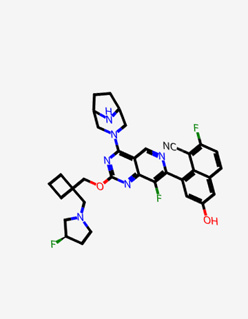 N#Cc1c(F)ccc2cc(O)cc(-c3ncc4c(N5CC6CCC(C5)N6)nc(OCC5(CN6CC[C@@H](F)C6)CCC5)nc4c3F)c12